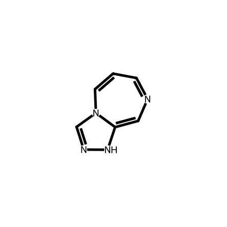 C1=CN2C=NNC2=CN=C1